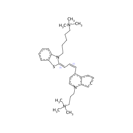 C[N+](C)(C)CCCCCN1/C(=C\C=C/c2cc[n+](CCC[N+](C)(C)C)c3ccccc23)Sc2ccccc21